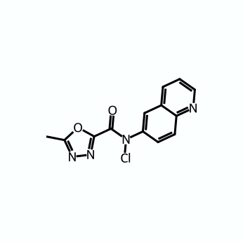 Cc1nnc(C(=O)N(Cl)c2ccc3ncccc3c2)o1